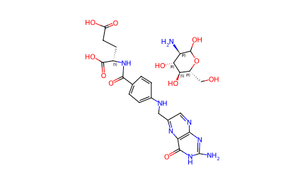 N[C@H]1C(O)O[C@H](CO)[C@@H](O)[C@@H]1O.Nc1nc2ncc(CNc3ccc(C(=O)N[C@@H](CCC(=O)O)C(=O)O)cc3)nc2c(=O)[nH]1